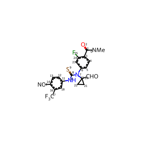 CNC(=O)c1ccc(N(C(=S)Nc2ccc(C#N)c(C(F)(F)F)c2)C2(C=O)CC2)cc1F